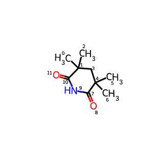 CC1(C)CC(C)(C)C(=O)NC1=O